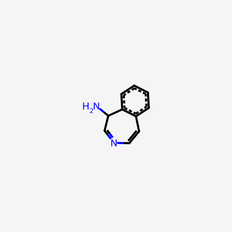 NC1C=NC=Cc2ccccc21